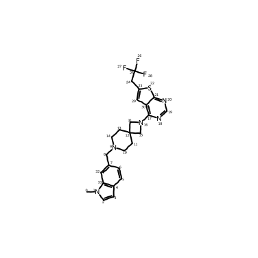 Cn1ccc2ccc(CN3CCC4(CC3)CN(c3ncnc5sc(CC(F)(F)F)cc35)C4)cc21